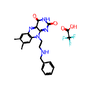 Cc1cc2nc3c(=O)[nH]c(=O)nc-3n(CCNCc3ccccc3)c2cc1C.O=C(O)C(F)(F)F